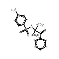 Cc1ccc(S(=O)(=O)OC(C(=O)O)(C(=O)O)C(=O)c2ccccc2)cc1